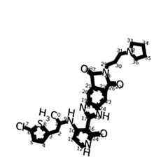 CC(Cc1ccc(Cl)s1)Nc1cc[nH]c(=O)c1-c1nc2cc3c(cc2[nH]1)C(=O)N(CCCN1CCCC1)C3=O